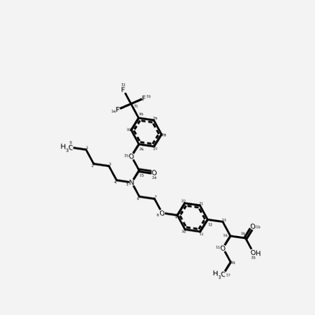 CCCCCN(CCOc1ccc(CC(OCC)C(=O)O)cc1)C(=O)Oc1cccc(C(F)(F)F)c1